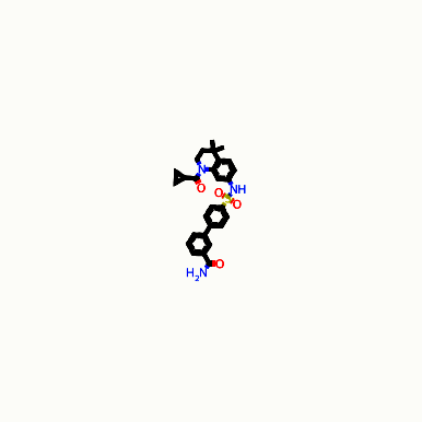 CC1(C)CCN(C(=O)C2CC2)c2cc(NS(=O)(=O)c3ccc(-c4cccc(C(N)=O)c4)cc3)ccc21